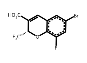 O=C(O)C1=Cc2cc(Br)cc(F)c2O[C@@H]1C(F)(F)F